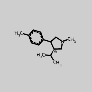 Cc1ccc(C2CN(C)C[C@H]2C(C)C)cc1